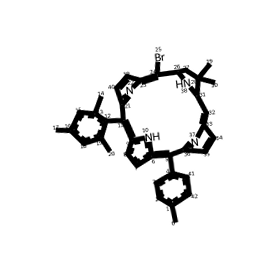 Cc1ccc(/C2=c3\cc/c([nH]3)=C(\c3c(C)cc(C)cc3C)C3=N/C(=C(/Br)C4CC(C)(C)C(/C=C5/C=CC2=N5)N4)C=C3)cc1